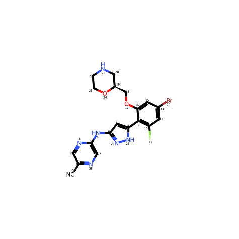 N#Cc1cnc(Nc2cc(-c3c(F)cc(Br)cc3OC[C@@H]3CNCCO3)[nH]n2)cn1